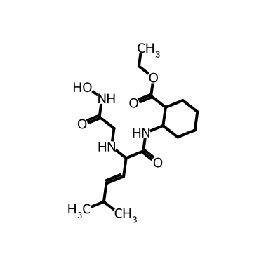 CCOC(=O)C1CCCCC1NC(=O)C(/C=C/C(C)C)NCC(=O)NO